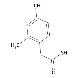 Cc1ccc(CC(=O)S)c(C)c1